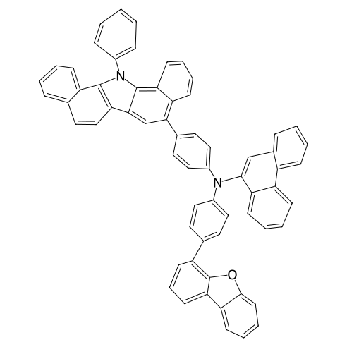 c1ccc(-n2c3c4ccccc4ccc3c3cc(-c4ccc(N(c5ccc(-c6cccc7c6oc6ccccc67)cc5)c5cc6ccccc6c6ccccc56)cc4)c4ccccc4c32)cc1